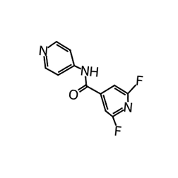 O=C(Nc1ccncc1)c1cc(F)nc(F)c1